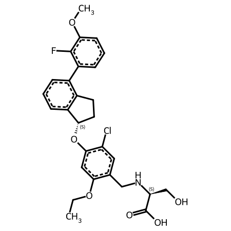 CCOc1cc(O[C@H]2CCc3c(-c4cccc(OC)c4F)cccc32)c(Cl)cc1CN[C@@H](CO)C(=O)O